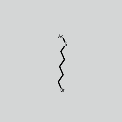 CC(=O)SCCCCCBr